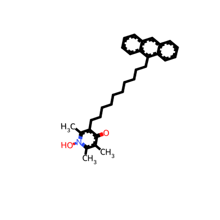 Cc1c(C)n(O)c(C)c(CCCCCCCCCCc2c3ccccc3cc3ccccc23)c1=O